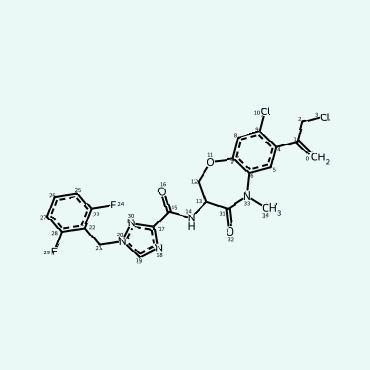 C=C(CCl)c1cc2c(cc1Cl)OCC(NC(=O)c1ncn(Cc3c(F)cccc3F)n1)C(=O)N2C